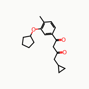 Cc1ccc(C(=O)CC(=O)CC2CC2)cc1OC1CCCC1